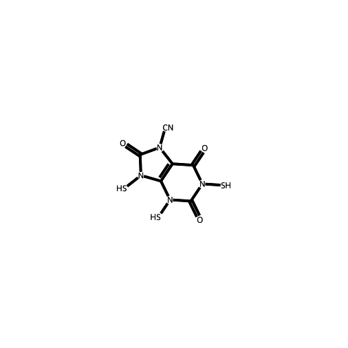 N#Cn1c(=O)n(S)c2c1c(=O)n(S)c(=O)n2S